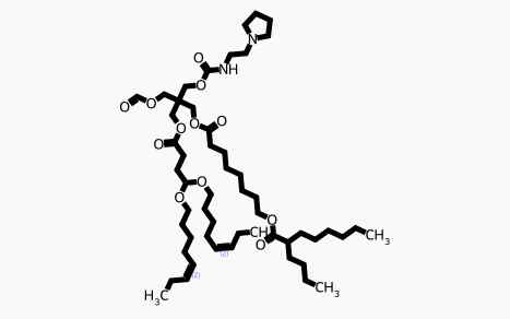 CC/C=C\CCCCOC(CCC(=O)OCC(COC=O)(COC(=O)CCCCCCCOC(=O)C(CCCC)CCCCCC)COC(=O)NCCN1CCCC1)OCCCC/C=C\CC